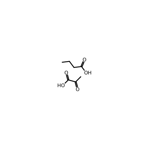 CC(=O)C(=O)O.CCCC(=O)O